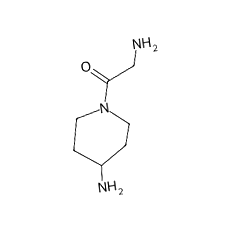 NCC(=O)N1CCC(N)CC1